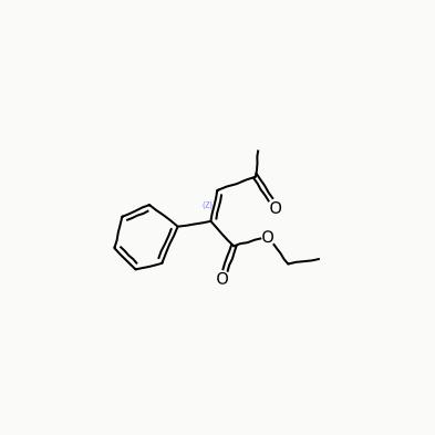 CCOC(=O)/C(=C\C(C)=O)c1ccccc1